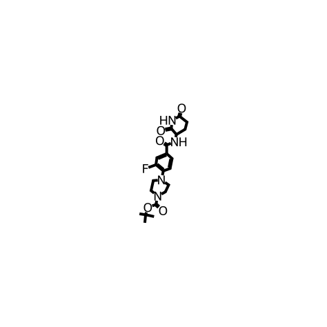 CC(C)(C)OC(=O)N1CCN(c2ccc(C(=O)NC3CCC(=O)NC3=O)cc2F)CC1